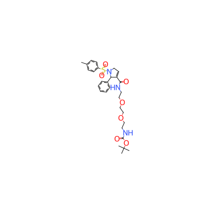 Cc1ccc(S(=O)(=O)N2CC=C(C(=O)NCCOCCOCCNC(=O)OC(C)(C)C)C2c2ccccc2)cc1